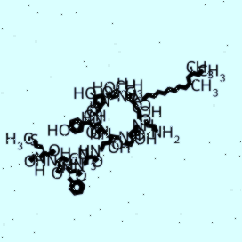 CC[C@H](C)C[C@H](C)CCCCCCCCC(=O)N[C@H]1C[C@@H](O)[C@@H](OCCN)NC(=O)[C@@H]2[C@@H](O)CCN2C(=O)[C@H]([C@H](O)CCNC(=O)[C@@H](N)CNC(=O)[C@H](Cc2ccccc2)N2C(=O)[C@@H](NC(=O)[C@H](CCSC)NC=O)CC2C)NC(=O)[C@H]([C@H](O)[C@@H](O)c2ccc(O)cc2)NC(=O)[C@@H]2C[C@@H](O)CN2C(=O)[C@H]([C@@H](C)O)NC1=O